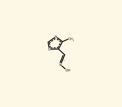 Cc1ncoc1/C=N/O